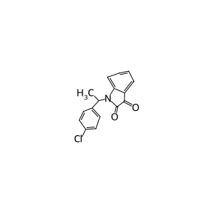 CC(c1ccc(Cl)cc1)N1C(=O)C(=O)c2ccccc21